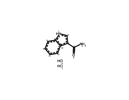 Cl.Cl.NC(=O)c1c[nH]c2ccccc12